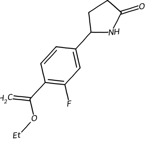 C=C(OCC)c1ccc(C2CCC(=O)N2)cc1F